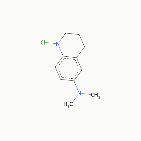 CN(C)c1ccc2c(c1)CCCN2Cl